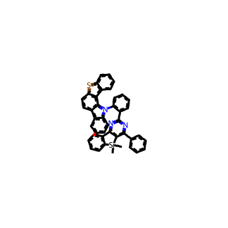 C[Si]1(C)c2ccccc2-c2nc(-c3ccccc3-n3c4ccccc4c4ccc5sc6ccccc6c5c43)nc(-c3ccccc3)c21